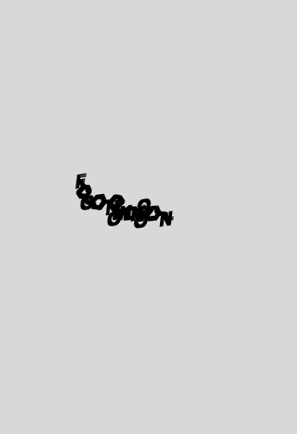 C/N=C/c1ccc(S(=O)(=O)N2CCN(C(=O)c3cccc(-c4ccc(Oc5ccc(F)cc5)cc4)n3)CC2)cc1